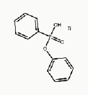 O=P(O)(Oc1ccccc1)c1ccccc1.[Ti]